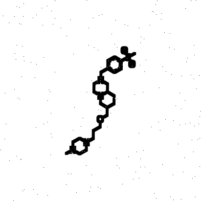 CN1CCN(CCCOCC2CCC3CN(Cc4ccc(S(C)(=O)=O)cc4)CCN3C2)CC1